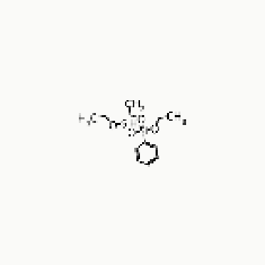 CCO[SiH2]O[Si](OCC)(OCC)c1ccccc1